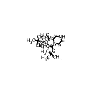 CC(O[Si](C)(C)C(C)(C)C)[C@H]1CNCCN1C(=O)OC(C)(C)C